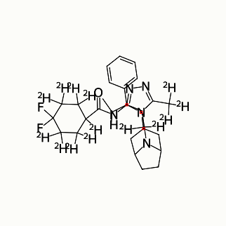 [2H]C([2H])([2H])c1nnc(C(C)C)n1C1CC2CCC(C1)N2C([2H])([2H])CC(NC(=O)C1([2H])C([2H])([2H])C([2H])([2H])C(F)(F)C([2H])([2H])C1([2H])[2H])c1ccccc1